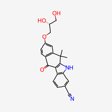 CC1(C)c2cc(OC[C@H](O)CO)ccc2C(=O)c2c1[nH]c1cc(C#N)ccc21